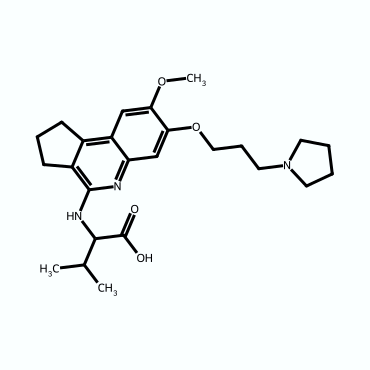 COc1cc2c3c(c(NC(C(=O)O)C(C)C)nc2cc1OCCCN1CCCC1)CCC3